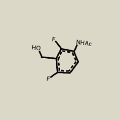 CC(=O)Nc1ccc(F)c(CO)c1F